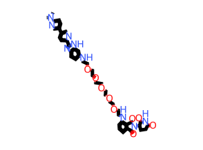 CN(C)c1ccc(-c2ccc(-c3nc4ccc(NCCOCCOCCOCCOCCOCCNc5cccc6c5C(=O)N(C5CCC(=O)NC5=O)C6=O)cc4[nH]3)nc2)cn1